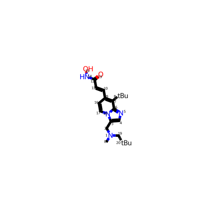 CN(Cc1cnc2c(C(C)(C)C)c(C=CC(=O)NO)ccn12)CC(C)(C)C